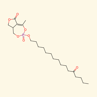 CCCCC(=O)CCCCCCCCCCCOP1(=O)OCC2COC(=O)C2=C(C)O1